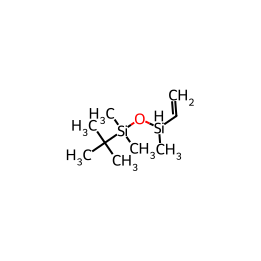 C=C[SiH](C)O[Si](C)(C)C(C)(C)C